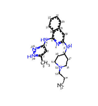 Cc1cc(Nc2nc(NC3CCN(CCC#N)CC3)cc3ccccc23)n[nH]1